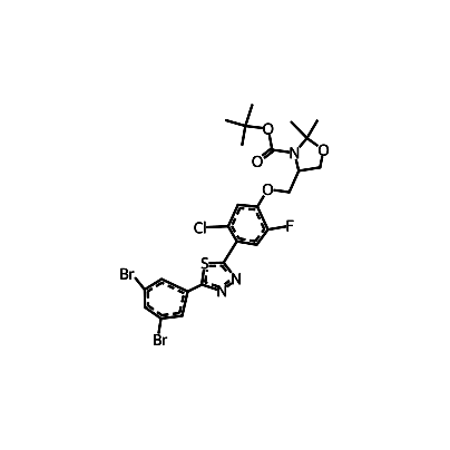 CC(C)(C)OC(=O)N1C(COc2cc(Cl)c(-c3nnc(-c4cc(Br)cc(Br)c4)s3)cc2F)COC1(C)C